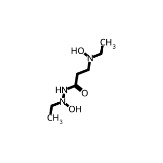 CCN(O)CCC(=O)NN(O)CC